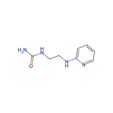 NC(=O)NCCNc1ccccn1